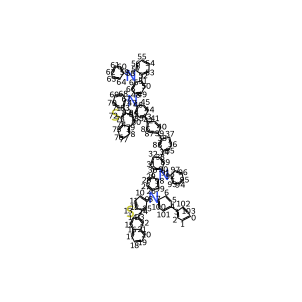 c1ccc(-c2ccc(N(c3ccc4sc5cc6ccccc6cc5c4c3)c3ccc4c5ccc(-c6cccc(-c7ccc(-c8ccc(N(c9ccc%10c%11ccccc%11n(-c%11ccccc%11)c%10c9)c9cccc%10sc%11c%12ccccc%12ccc%11c9%10)cc8)cc7)c6)cc5n(-c5ccccc5)c4c3)cc2)cc1